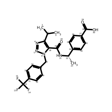 CC(C)c1nnn(Cc2ccc(C(F)(F)F)cc2)c1C(=O)N[C@@H](C)c1ccc(C(=O)O)cc1